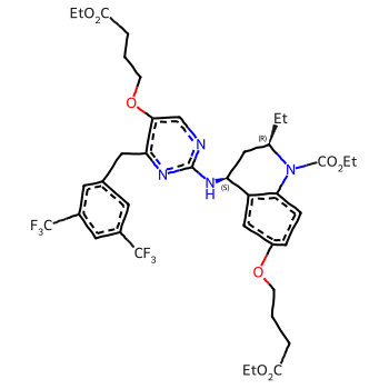 CCOC(=O)CCCOc1ccc2c(c1)[C@@H](Nc1ncc(OCCCC(=O)OCC)c(Cc3cc(C(F)(F)F)cc(C(F)(F)F)c3)n1)C[C@@H](CC)N2C(=O)OCC